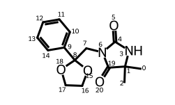 CC1(C)NC(=O)N(CC2(c3ccccc3)OCCO2)C1=O